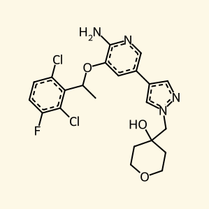 CC(Oc1cc(-c2cnn(CC3(O)CCOCC3)c2)cnc1N)c1c(Cl)ccc(F)c1Cl